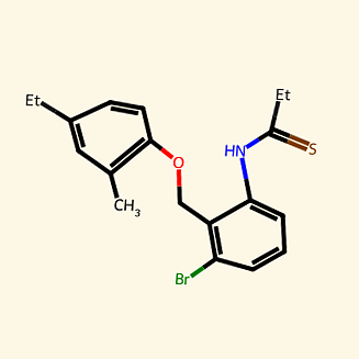 CCC(=S)Nc1cccc(Br)c1COc1ccc(CC)cc1C